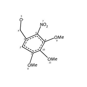 COc1cc(C[O])c([N+](=O)[O-])c(OC)c1OC